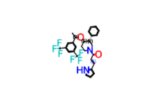 C[C@@H](O[C@H]1CCN(C(=O)/C=C/c2ccc[nH]2)C[C@H]1c1ccccc1)c1cc(C(F)(F)F)cc(C(F)(F)F)c1